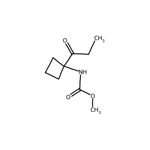 CCC(=O)C1(NC(=O)OC)CCC1